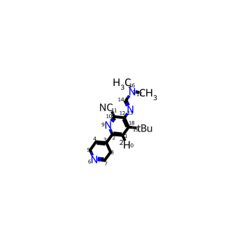 [2H]c1c(C2=CCN=CC2)nc(C#N)c(/N=C/N(C)C)c1C(C)(C)C